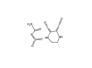 NC(=O)N=S(=O)=O.O=C=C1NCCNC1=C=O